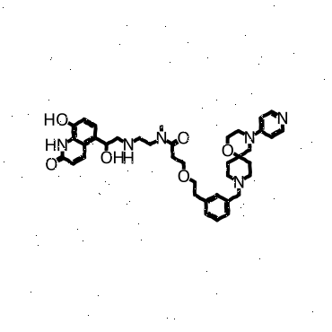 CN(CCNCC(O)c1ccc(O)c2[nH]c(=O)ccc12)C(=O)CCOCCc1cccc(CN2CCC3(CC2)CN(c2ccncc2)CCO3)c1